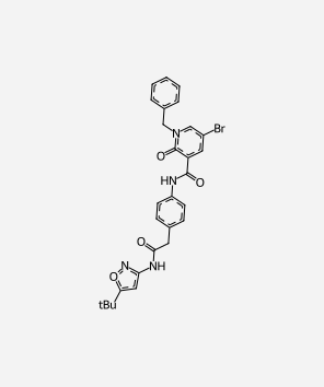 CC(C)(C)c1cc(NC(=O)Cc2ccc(NC(=O)c3cc(Br)cn(Cc4ccccc4)c3=O)cc2)no1